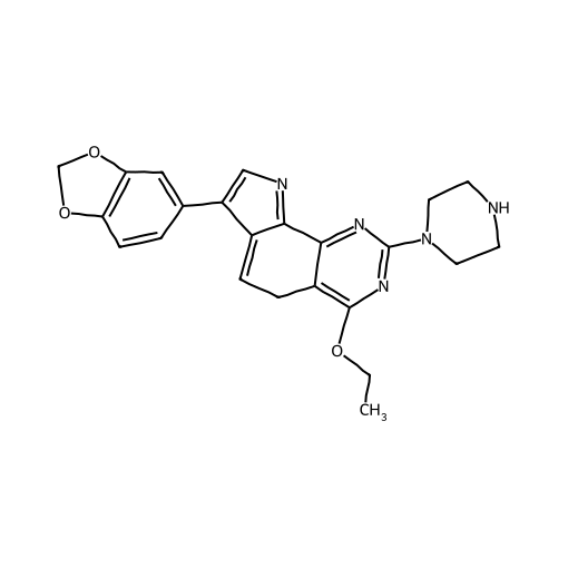 CCOc1nc(N2CCNCC2)nc2c1CC=C1C(c3ccc4c(c3)OCO4)=CN=C12